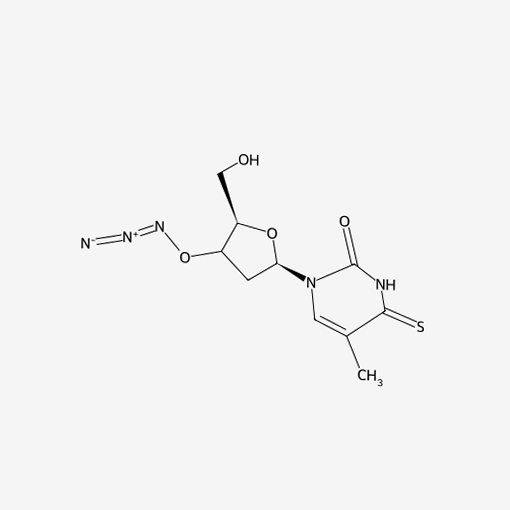 Cc1cn([C@H]2CC(ON=[N+]=[N-])[C@@H](CO)O2)c(=O)[nH]c1=S